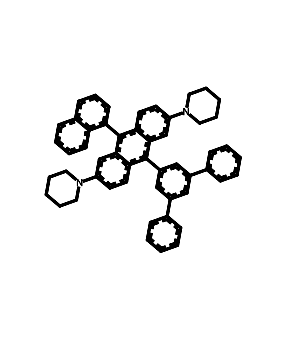 c1ccc(-c2cc(-c3ccccc3)cc(-c3c4cc(N5CCCCC5)ccc4c(-c4cccc5ccccc45)c4cc(N5CCCCC5)ccc34)c2)cc1